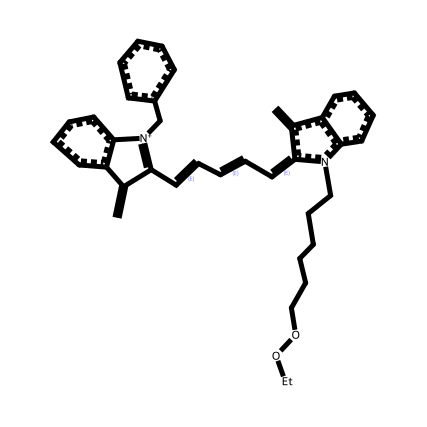 C=C1C(/C=C/C=C/C=c2\c(=C)c3ccccc3n2CCCCCCOOCC)=[N+](Cc2ccccc2)c2ccccc21